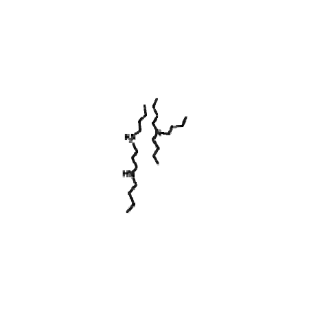 CCCCN.CCCCN(CCCC)CCCC.CCCCNCCCC